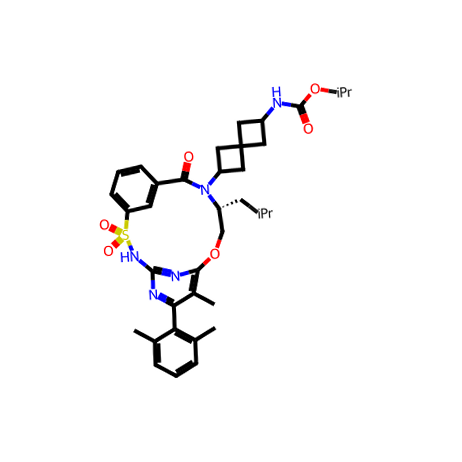 Cc1cccc(C)c1-c1nc2nc(c1C)OC[C@@H](CC(C)C)N(C1CC3(CC(NC(=O)OC(C)C)C3)C1)C(=O)c1cccc(c1)S(=O)(=O)N2